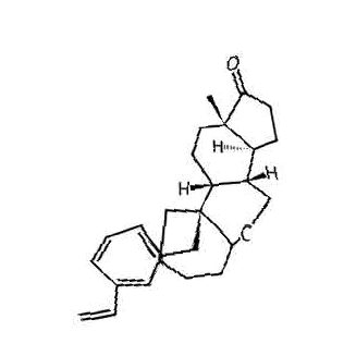 C=Cc1cccc(C[C@]23CCCCC2CC[C@@H]2[C@H]3CC[C@]3(C)C(=O)CC[C@@H]23)c1